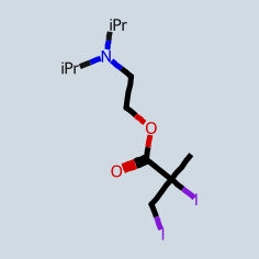 CC(C)N(CCOC(=O)C(C)(I)CI)C(C)C